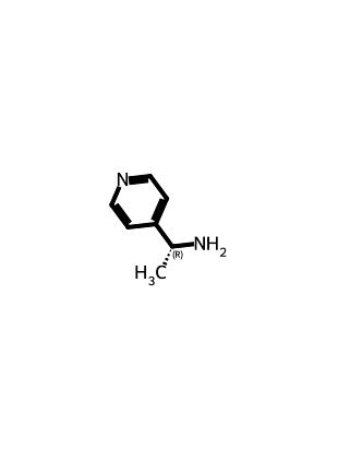 C[C@@H](N)c1ccncc1